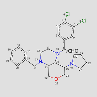 O=CC(c1ccc(Cl)c(Cl)c1)N1CCN(Cc2ccccc2)C2COCC(N3CCCC3)C21